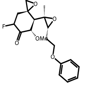 CO[C@@H]1C(=O)C(F)C[C@]2(CO2)[C@H]1[C@@]1(C)O[C@@H]1CCOc1ccccc1